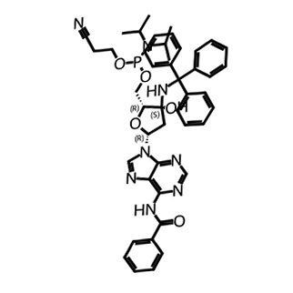 CC(C)N(C(C)C)P(OCCC#N)OC[C@H]1O[C@@H](n2cnc3c(NC(=O)c4ccccc4)ncnc32)C[C@@]1(O)NC(c1ccccc1)(c1ccccc1)c1ccccc1